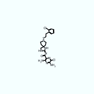 Nc1nc(N)c(C(=O)/N=C2\NCC3(CCN(SCCc4ccccc4Cl)CC3)N2)nc1Cl